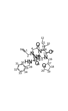 C#CCN1CC(=O)N2[C@@H](C(C)CC)C(=O)N(CC3CCCO3)C[C@@H]2N1C(=O)NCc1ccccc1